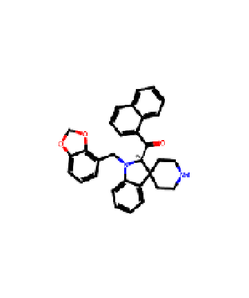 O=C(c1cccc2ccccc12)[C@@H]1N(Cc2cccc3c2OCO3)c2ccccc2C12CCNCC2